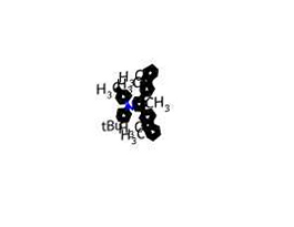 Cc1ccc(N(c2ccc(C(C)(C)C)cc2)c2cc(-c3ccc4c(c3)C(C)(C)c3ccccc3-4)c(C)c(-c3ccc4c(c3)C(C)(C)c3ccccc3-4)c2)cc1